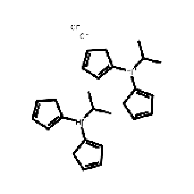 C[CH](C)[Hf+]([C]1=CC=CC1)[C]1=CC=CC1.C[CH](C)[Hf+]([C]1=CC=CC1)[C]1=CC=CC1.[Cl-].[Cl-]